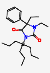 CCC[Si](CCC)(CCC)N1C(=O)N(CC)C(CC)(c2ccccc2)C1=O